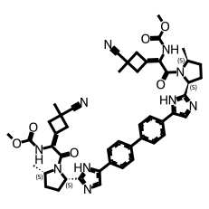 COC(=O)NC(C(=O)N1[C@@H](C)CC[C@H]1c1ncc(-c2ccc(-c3ccc(-c4cnc([C@@H]5CC[C@H](C)N5C(=O)C(NC(=O)OC)=C5CC(C)(C#N)C5)[nH]4)cc3)cc2)[nH]1)=C1CC(C)(C#N)C1